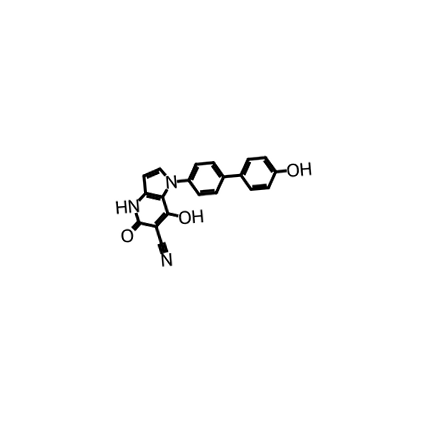 N#Cc1c(O)c2c(ccn2-c2ccc(-c3ccc(O)cc3)cc2)[nH]c1=O